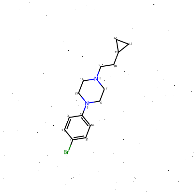 Brc1ccc(N2CCN(CCC3CC3)CC2)cc1